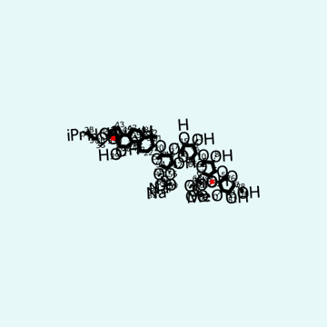 CO[C@@H]1[C@@H](O)[C@H](O[C@@H]2[C@@H](O)[C@H](O[C@H]3[C@H](O)[C@@H](O)[C@H](O[C@H]4[C@H](O[C@H]5CC[C@]6(C)[C@@H]7C[C@H](O)[C@]89C(=O)O[C@@](C)(CCCC(C)C)[C@@]8(O)CC[C@@]9(C)C7=CC[C@H]6C5(C)C)OC[C@@H](OS(=O)(=O)[O-])[C@@H]4O)O[C@@H]3C)O[C@H](COS(=O)(=O)[O-])[C@H]2O)O[C@H](CO)[C@H]1O.[Na+].[Na+]